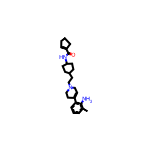 Cc1cccc(C2=CCN(CCC3CCC(NC(=O)C4=CCCC4)CC3)CC2)c1N